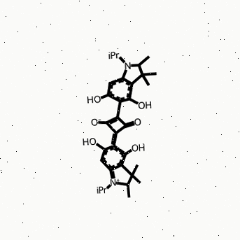 CC(C)N1c2cc(O)c(C3=C([O-])/C(=c4\c(O)cc5c(c4O)C(C)(C)C(C)[N+]=5C(C)C)C3=O)c(O)c2C(C)(C)C1C